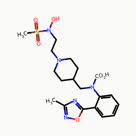 Cc1noc(-c2ccccc2N(CC2CCN(CCN(O)S(C)(=O)=O)CC2)C(=O)O)n1